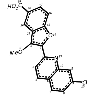 COc1c(-c2ccc3ccc(Cl)cc3n2)oc2ccc(C(=O)O)cc12